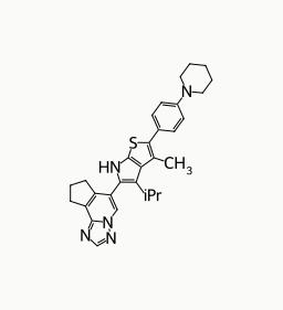 Cc1c(-c2ccc(N3CCCCC3)cc2)sc2[nH]c(-c3cn4ncnc4c4c3CCC4)c(C(C)C)c12